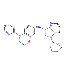 c1ccc(N2CCOc3cc(Nc4nn(C5CCCCO5)c5cccnc45)ccc32)nc1